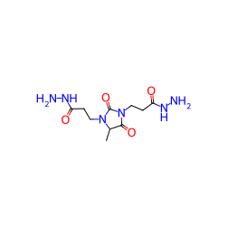 CC1C(=O)N(CCC(=O)NN)C(=O)N1CCC(=O)NN